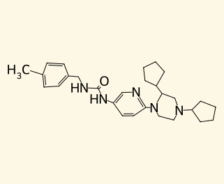 Cc1ccc(CNC(=O)Nc2ccc(N3CCN(C4CCCC4)CC3C3CCCC3)nc2)cc1